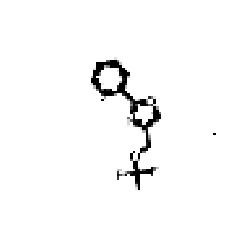 CC(F)(F)OCc1coc(-c2ccccc2)n1